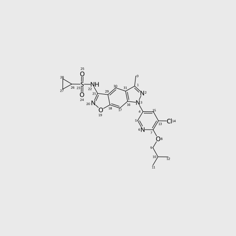 Cc1nn(-c2cnc(OCC(C)C)c(Cl)c2)c2cc3onc(NS(=O)(=O)C4CC4)c3cc12